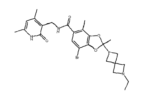 CCN1CC2(CC(C3(C)Oc4c(Br)cc(C(=O)NCc5c(C)cc(C)[nH]c5=O)c(C)c4O3)C2)C1